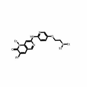 CCN(CC)CCOc1ccc(Nc2cc3c(cn2)cc(C(C)C)c(=O)n3CC)nc1